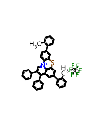 Cc1ccccc1-c1ccc2c(c1)Sc1cc(-c3ccccc3C)cc3c(-c4ccccc4)c(-c4ccccc4)c[n+]-2c13.[F][Sb-]([F])([F])([F])([F])[F]